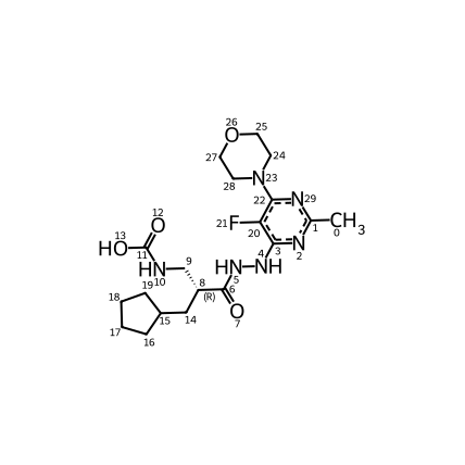 Cc1nc(NNC(=O)[C@@H](CNC(=O)O)CC2CCCC2)c(F)c(N2CCOCC2)n1